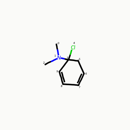 CN(C)C1(Cl)[CH]C=CC=C1